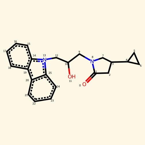 O=C1CC(C2CC2)CN1CC(O)Cn1c2ccccc2c2ccccc21